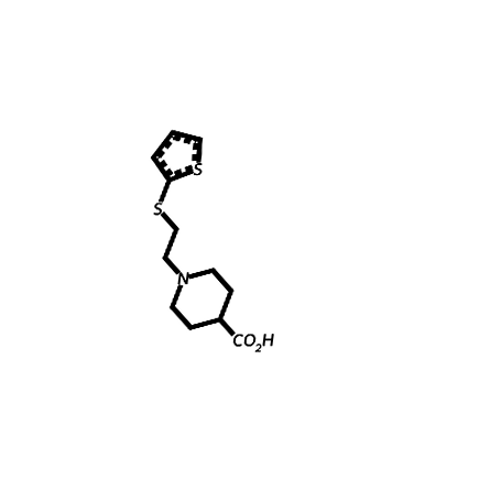 O=C(O)C1CCN(CCSc2cccs2)CC1